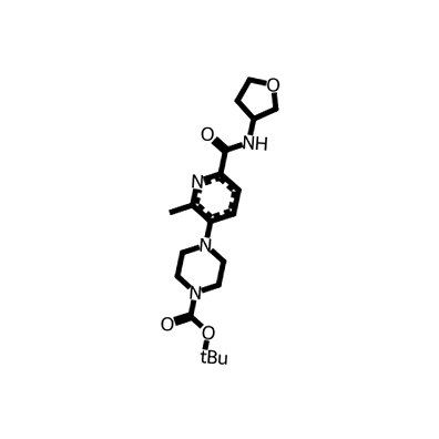 Cc1nc(C(=O)NC2CCOC2)ccc1N1CCN(C(=O)OC(C)(C)C)CC1